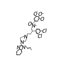 CC=CCn1c(N2CCCN(CCC(CN(C)C(=O)c3cc(OC)c(OC)c(OC)c3)c3ccc(Cl)c(Cl)c3)CC2)nc2ccccc21